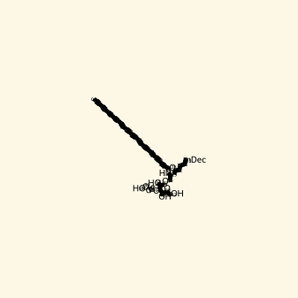 CC#CC#CC#CC#CC#CC#CC#CC#CC#CC#CC#CC#CC(=O)N[C@H](CCCCCCCCCCCCCCCC)COC1OC(CO)C(O)C(OSOOO)C1O